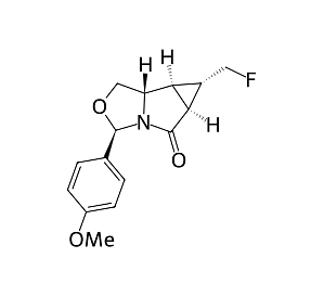 COc1ccc([C@H]2OC[C@@H]3[C@H]4[C@H](CF)[C@H]4C(=O)N23)cc1